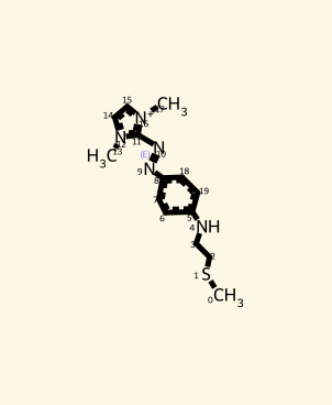 CSCCNc1ccc(/N=N/c2n(C)cc[n+]2C)cc1